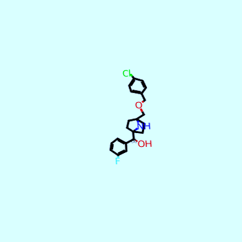 O[C@@H](c1cccc(F)c1)C12CCC(COCc3ccc(Cl)cc3)(CC1)N2